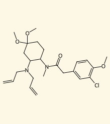 C=CCN(CC=C)C1CC(OC)(OC)CCC1N(C)C(=O)Cc1ccc(OC)c(Cl)c1